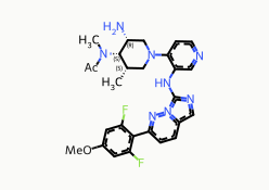 COc1cc(F)c(-c2ccc3cnc(Nc4cnccc4N4C[C@@H](N)[C@@H](N(C)C(C)=O)[C@@H](C)C4)n3n2)c(F)c1